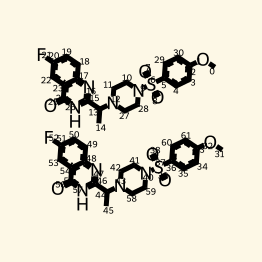 COc1ccc(S(=O)(=O)N2CCN(C(C)c3nc4ccc(F)cc4c(=O)[nH]3)CC2)cc1.COc1ccc(S(=O)(=O)N2CCN(C(C)c3nc4ccc(F)cc4c(=O)[nH]3)CC2)cc1